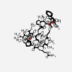 CC[C@H](C)[C@@H]([C@@H](CC(=O)N1CCC[C@H]1[C@H](OC)[C@@H](C)C(=O)N[C@H](C)[C@@H](O)c1ccccc1)OC)N(C)C(=O)[C@@H](NC(=O)[C@H](C(C)C)[N+](C)(C)Cc1ccc(NC(=O)[C@H](CCCNC(N)=O)NC(=O)[C@@H](NC(=O)CCOCCN2C(=O)C=CC2=O)C(C)C)cc1S(=O)(=O)O)C(C)C